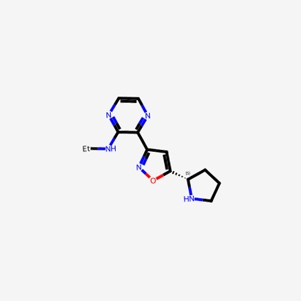 CCNc1nccnc1-c1cc([C@@H]2CCCN2)on1